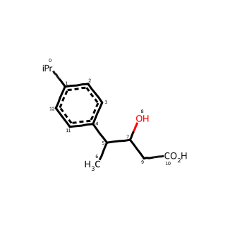 CC(C)c1ccc(C(C)C(O)CC(=O)O)cc1